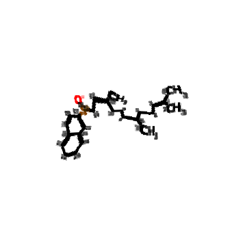 CC(C)=CCCC(C)=CCCC(C)=CC[S+]([O-])c1ccc2ccccc2c1